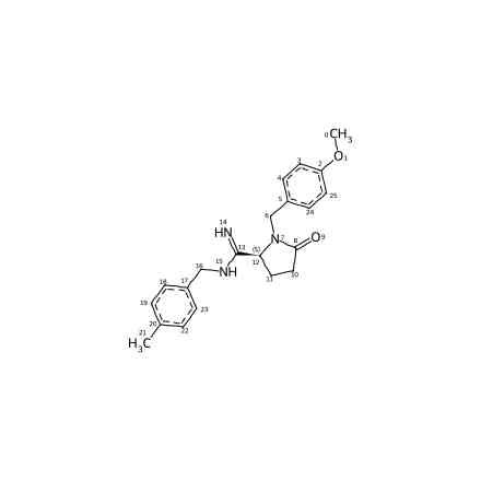 COc1ccc(CN2C(=O)CC[C@H]2C(=N)NCc2ccc(C)cc2)cc1